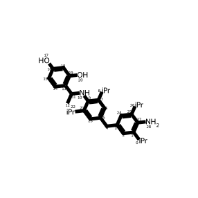 CC(C)c1cc(Cc2cc(C(C)C)c(NC(C)c3ccc(O)cc3O)c(C(C)C)c2)cc(C(C)C)c1N